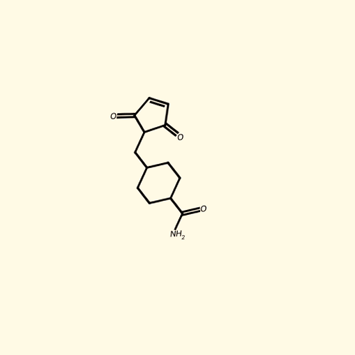 NC(=O)C1CCC(CC2C(=O)C=CC2=O)CC1